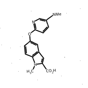 CNc1ccc(Oc2ccc3c(c2)cc(C(=O)O)n3C)nc1